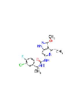 CCc1nc(NC(=O)N[C@H](C)c2ccc(F)c(Cl)c2)cc2[nH]nc(OC)c12